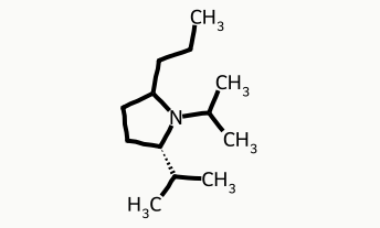 CCCC1CC[C@@H](C(C)C)N1C(C)C